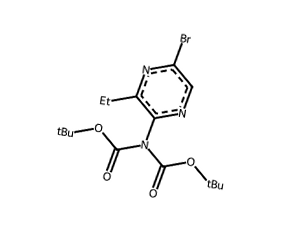 CCc1nc(Br)cnc1N(C(=O)OC(C)(C)C)C(=O)OC(C)(C)C